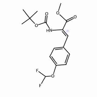 COC(=O)/C(=C/c1ccc(OC(F)F)cc1)NC(=O)OC(C)(C)C